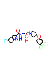 O=C(NC[C@@H](O)CN1CCC(Oc2ccc(Cl)c(Cl)c2)CC1)c1cc2cc(F)ccc2[nH]1